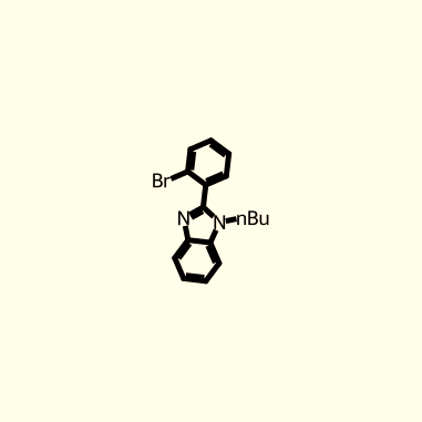 CCCCn1c(-c2ccccc2Br)nc2ccccc21